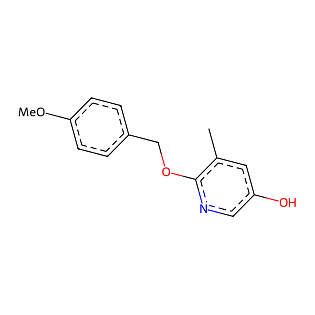 COc1ccc(COc2ncc(O)cc2C)cc1